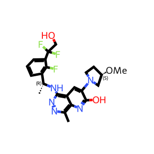 CO[C@H]1CCN(c2cc3c(N[C@H](C)c4cccc(C(F)(F)CO)c4F)nnc(C)c3nc2O)C1